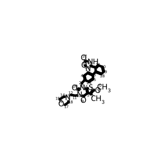 COc1sc2c(c1C)c(=O)n(CCN1CCOCC1)c(=O)n2Cc1ccc(-c2ccccc2-c2noc(=O)[nH]2)cc1